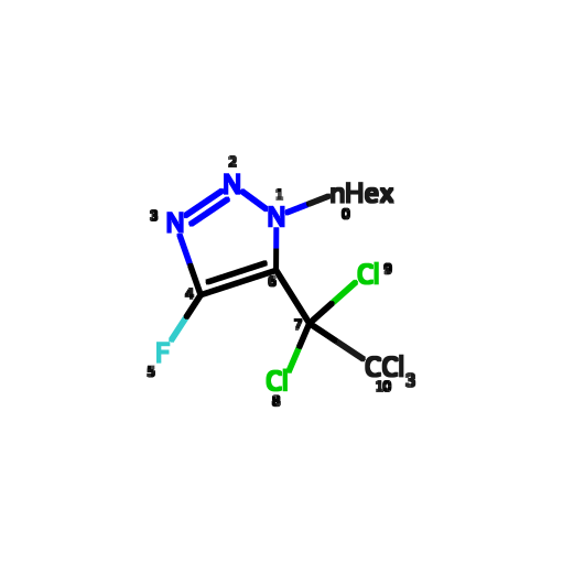 CCCCCCn1nnc(F)c1C(Cl)(Cl)C(Cl)(Cl)Cl